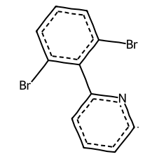 Brc1cccc(Br)c1-c1ccc[c]n1